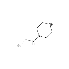 [CH2]CCCCNN1CCNCC1